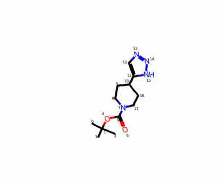 CC(C)(C)OC(=O)N1CCC(c2cnn[nH]2)CC1